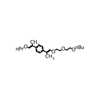 CCCCOCCOCCOC=C(C)c1ccc(C(C)=COCCC)cc1